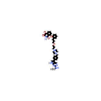 CCCCNc1ncc2c(-c3ccc(CN4CCN(CCCOCCCc5ccccc5Oc5cccc6c5C(=O)NC(=O)C6=O)CC4)cc3)c[nH]c2n1